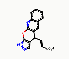 O=C(O)C=CC1c2cc3ccccc3nc2Oc2[nH]ncc21